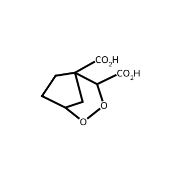 O=C(O)C1OOC2CCC1(C(=O)O)C2